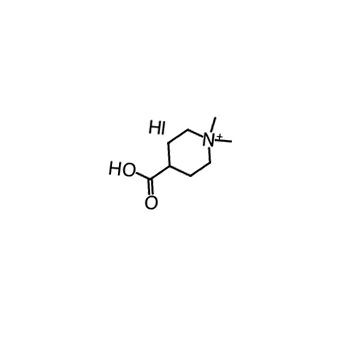 C[N+]1(C)CCC(C(=O)O)CC1.I